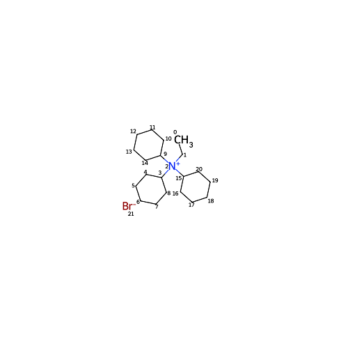 CC[N+](C1CCCCC1)(C1CCCCC1)C1CCCCC1.[Br-]